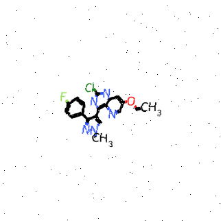 CCOc1cnc2c(-c3cn(C)nc3-c3ccc(F)cc3)nc(Cl)nc2c1